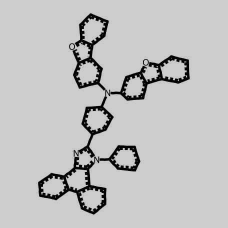 c1ccc(-n2c(-c3ccc(N(c4ccc5c(c4)oc4ccccc45)c4ccc5oc6ccccc6c5c4)cc3)nc3c4ccccc4c4ccccc4c32)cc1